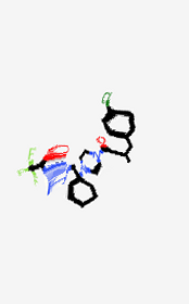 CC(Cc1ccc(Cl)cc1)C(=O)N1CCN(C2(CNC(=O)C(F)(F)F)CCCCC2)CC1